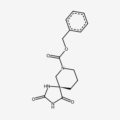 O=C1NC(=O)[C@]2(CCCN(C(=O)OCc3ccccc3)C2)N1